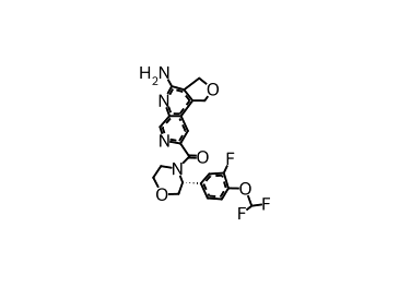 Nc1nc2cnc(C(=O)N3CCOC[C@H]3c3ccc(OC(F)F)c(F)c3)cc2c2c1COC2